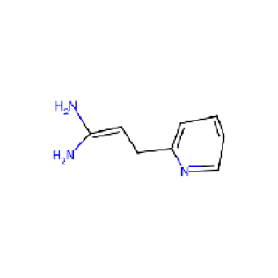 NC(N)=CCc1ccccn1